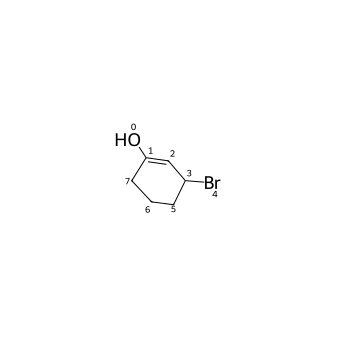 OC1=CC(Br)CCC1